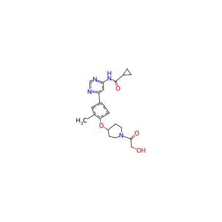 Cc1cc(-c2cc(NC(=O)C3CC3)ncn2)ccc1OC1CCN(C(=O)CO)CC1